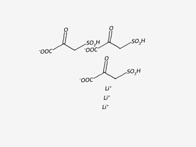 O=C([O-])C(=O)CS(=O)(=O)O.O=C([O-])C(=O)CS(=O)(=O)O.O=C([O-])C(=O)CS(=O)(=O)O.[Li+].[Li+].[Li+]